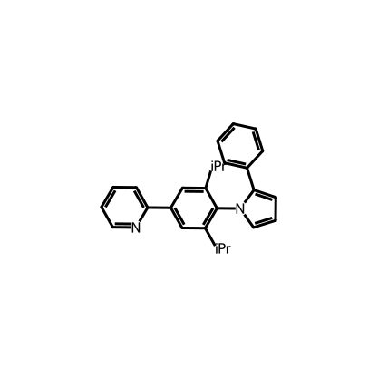 CC(C)c1cc(-c2ccccn2)cc(C(C)C)c1-n1cccc1-c1ccccc1